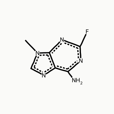 Cn1cnc2c(N)nc(F)nc21